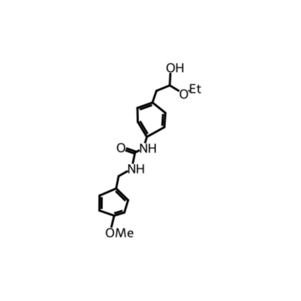 CCOC(O)Cc1ccc(NC(=O)NCc2ccc(OC)cc2)cc1